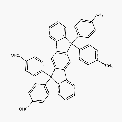 Cc1ccc(C2(c3ccc(C)cc3)c3ccccc3-c3cc4c(cc32)-c2ccccc2C4(c2ccc(C=O)cc2)c2ccc(C=O)cc2)cc1